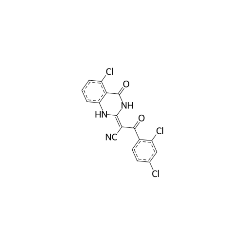 N#CC(C(=O)c1ccc(Cl)cc1Cl)=C1NC(=O)c2c(Cl)cccc2N1